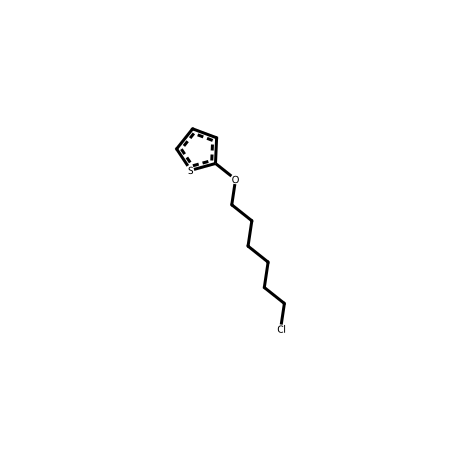 ClCCCCCCOc1cccs1